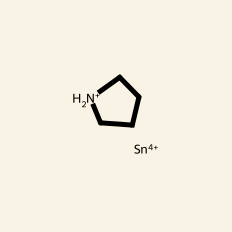 C1CC[NH2+]C1.[Sn+4]